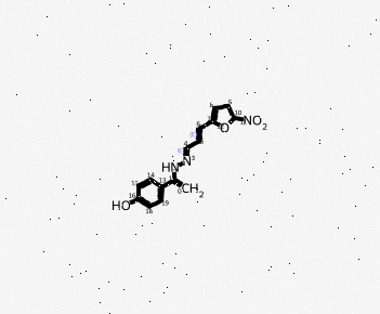 C=C(N/N=C/C=C/C1=CCC([N+](=O)[O-])O1)c1ccc(O)cc1